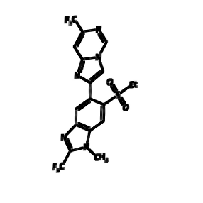 CCS(=O)(=O)c1cc2c(cc1-c1cn3cnc(C(F)(F)F)cc3n1)nc(C(F)(F)F)n2C